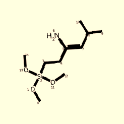 CO[Si](CCC(N)=CC(C)C)(OC)OC